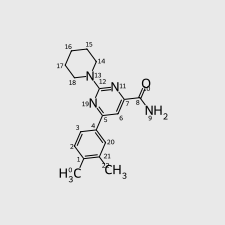 Cc1ccc(-c2cc(C(N)=O)nc(N3CCCCC3)n2)cc1C